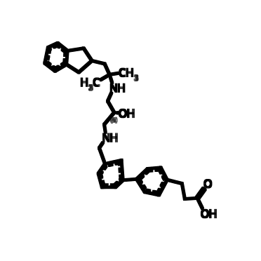 CC(C)(CC1Cc2ccccc2C1)NC[C@@H](O)CNCc1cccc(-c2ccc(CCC(=O)O)cc2)c1